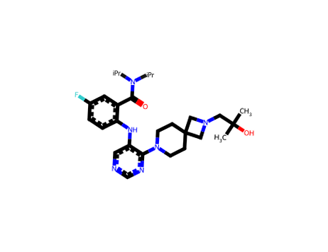 CC(C)N(C(=O)c1cc(F)ccc1Nc1cncnc1N1CCC2(CC1)CN(CC(C)(C)O)C2)C(C)C